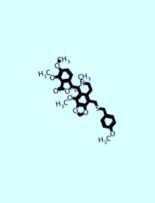 COc1ccc(CSCc2c3c(c(OC)c4c2OCO4)[C@H]([C@H]2OC(=O)c4c2ccc(OC)c4OC)N(C)CC3)cc1